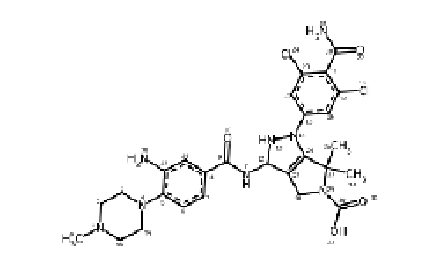 CN1CCN(c2ccc(C(=O)NC3NN(c4cc(Cl)c(C(N)=O)c(Cl)c4)C4=C3CN(C(=O)O)C4(C)C)cc2N)CC1